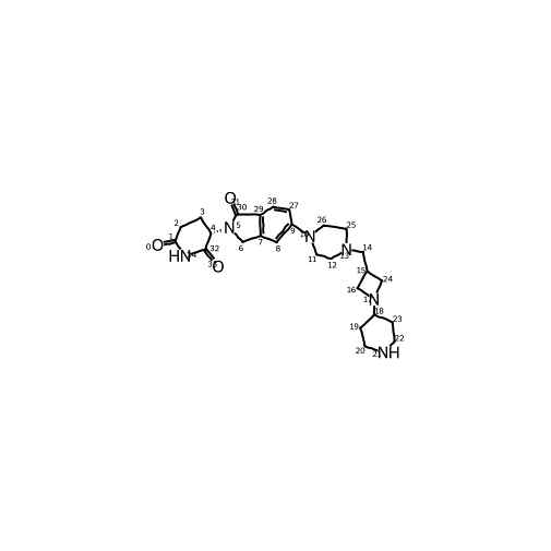 O=C1CC[C@H](N2Cc3cc(N4CCN(CC5CN(C6CCNCC6)C5)CC4)ccc3C2=O)C(=O)N1